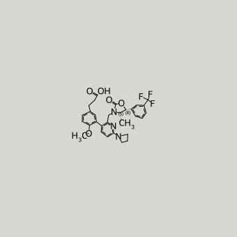 COc1ccc(CCC(=O)O)cc1-c1ccc(N2CCC2)nc1CN1C(=O)O[C@H](c2cccc(C(F)(F)F)c2)[C@@H]1C